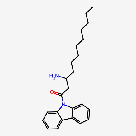 CCCCCCCCCC(N)CC(=O)n1c2ccccc2c2ccccc21